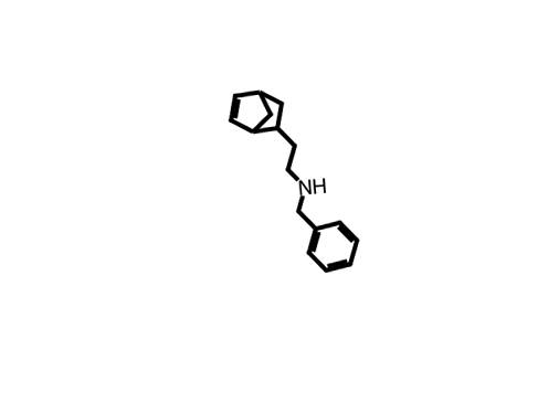 C1=CC2CC1CC2CCNCc1ccccc1